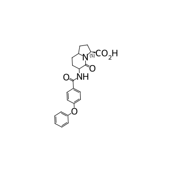 O=C(NC1CCC2CC[C@@H](C(=O)O)N2C1=O)c1ccc(Oc2ccccc2)cc1